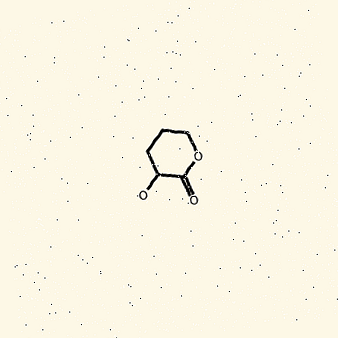 [O]C1CCCOC1=O